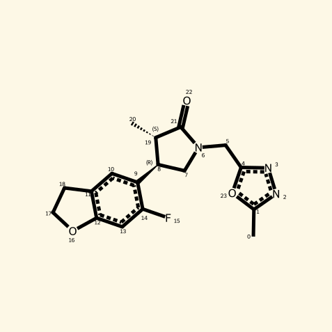 Cc1nnc(CN2C[C@@H](c3cc4c(cc3F)OCC4)[C@H](C)C2=O)o1